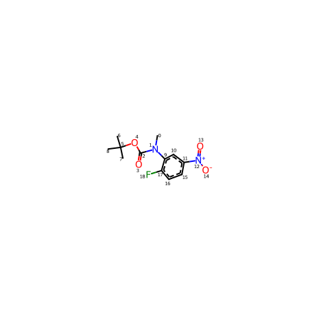 CN(C(=O)OC(C)(C)C)c1cc([N+](=O)[O-])ccc1F